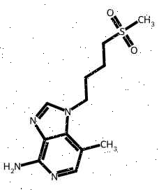 Cc1cnc(N)c2ncn(CCCCS(C)(=O)=O)c12